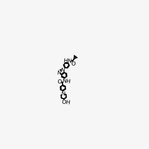 O=C(Nc1ccc2c(c1)ncn2-c1ccc(NC(=O)C2CC2)cc1)c1ccc(N2CCC(O)CC2)cc1